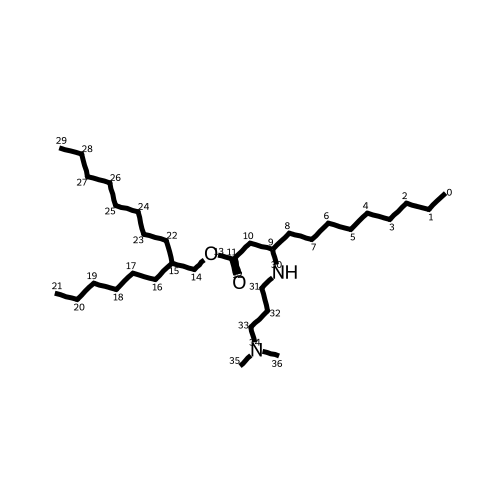 CCCCCCCCCC(CC(=O)OCC(CCCCCC)CCCCCCCC)NCCCN(C)C